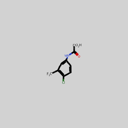 O=C(O)C(=O)Nc1ccc(Cl)c(C(F)(F)F)c1